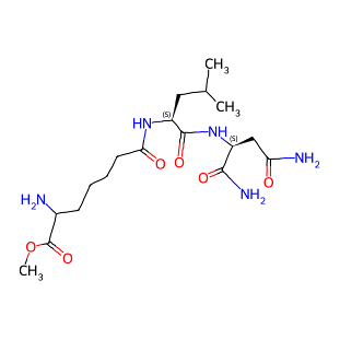 COC(=O)C(N)CCCCC(=O)N[C@@H](CC(C)C)C(=O)N[C@@H](CC(N)=O)C(N)=O